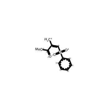 COC(=O)C(C)=CS(=O)(=O)c1ccccc1